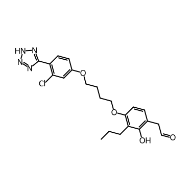 CCCc1c(OCCCCOc2ccc(-c3nn[nH]n3)c(Cl)c2)ccc(CC=O)c1O